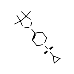 CC1(C)OB(C2=CCN(S(=O)(=O)C3CC3)CC2)OC1(C)C